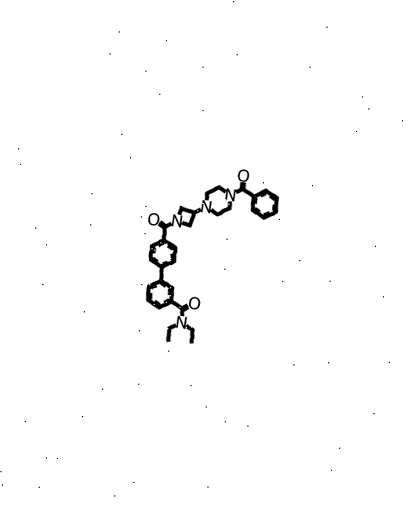 CCN(CC)C(=O)c1cccc(-c2ccc(C(=O)N3CC(N4CCN(C(=O)c5ccccc5)CC4)C3)cc2)c1